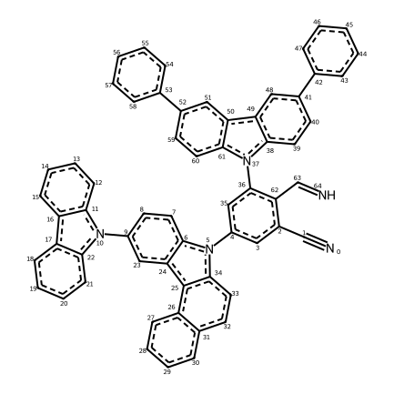 N#Cc1cc(-n2c3ccc(-n4c5ccccc5c5ccccc54)cc3c3c4ccccc4ccc32)cc(-n2c3ccc(-c4ccccc4)cc3c3cc(-c4ccccc4)ccc32)c1C=N